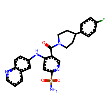 NS(=O)(=O)c1cc(Nc2ccc3ncccc3c2)c(C(=O)N2CCC(c3ccc(F)cc3)CC2)cn1